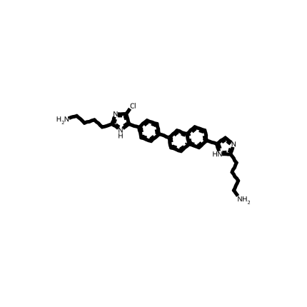 NCCCCc1ncc(-c2ccc3cc(-c4ccc(-c5[nH]c(CCCCN)nc5Cl)cc4)ccc3c2)[nH]1